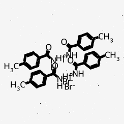 Cc1ccc(C(=O)[NH][Hf+][NH]C(=O)c2ccc(C)cc2)cc1.Cc1ccc(C(=O)[NH][Hf+][NH]C(=O)c2ccc(C)cc2)cc1.[Br-].[Br-]